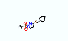 CC(C)S(=O)(=O)n1ccc(SCc2ccccc2)n1